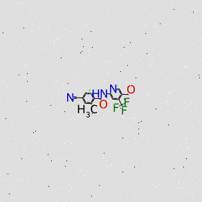 Cc1cc(C#N)ccc1C(=O)Nc1cc(C(F)(F)F)c(C=O)cn1